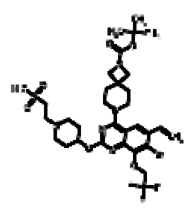 C=Cc1cc2c(N3CCC4(CC3)CN(C(=O)OC(C)(C)C)C4)nc(OC3CCN(CCS(C)(=O)=O)CC3)nc2c(OCC(F)(F)F)c1Br